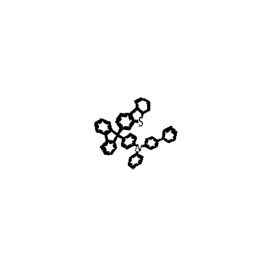 C1=CC2Sc3cc(C4(c5ccc(N(c6ccccc6)c6ccc(-c7ccccc7)cc6)cc5)c5ccccc5-c5ccccc54)ccc3C2C=C1